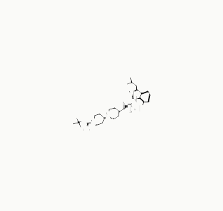 CC(C)Cc1nn(-c2noc(C3CCN(C4CCN(C(=O)OC(C)(C)C)CC4)CC3)n2)c2c(F)cccc12